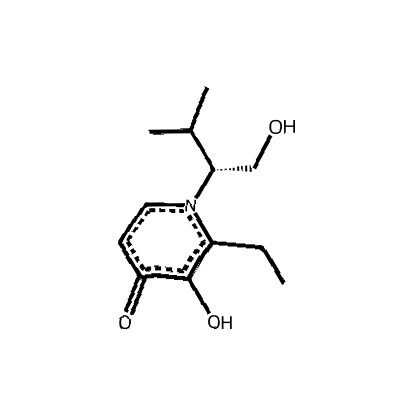 CCc1c(O)c(=O)ccn1[C@@H](CO)C(C)C